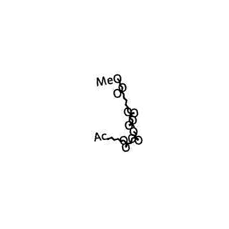 COCCOC(=O)CCCCCOC(=O)COC(=O)COCC(=O)OCC(=O)OCCCCCC(C)=O